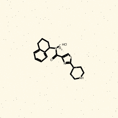 CN(C(=O)c1csc(C2CCNCC2)n1)C1CCCc2ccccc21.Cl